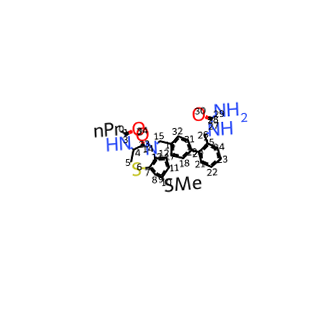 CCCC(=O)N[C@@H]1CSc2cc(SC)ccc2N(Cc2ccc(-c3ccccc3CNC(N)=O)cc2)C1=O